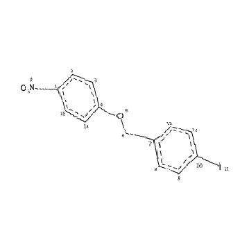 O=[N+]([O-])c1ccc(OCc2ccc(I)cc2)cc1